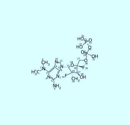 CN(C)c1nc(N)nc2c1ncn2[C@@H]1O[C@](F)(COP(=O)(O)OP(=O)(O)O)[C@@H](O)[C@@]1(C)F